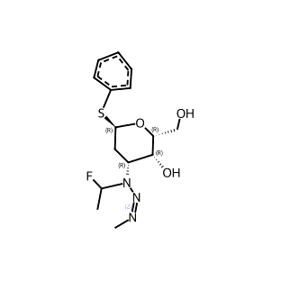 C/N=N\N(C(C)F)[C@@H]1C[C@@H](Sc2ccccc2)O[C@H](CO)[C@@H]1O